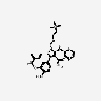 C=CC(=C)[C@H](C)Oc1cc(-c2nn(COCC[Si](C)(C)C)c(Nc3cnccn3)c2C(N)=O)ccc1N